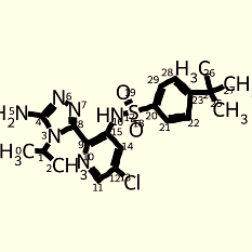 CC(C)n1c(N)nnc1-c1ncc(Cl)cc1NS(=O)(=O)c1ccc(C(C)(C)C)cc1